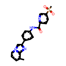 Cc1cccn2cc(-c3ccc(NC(=O)c4ccc(S(C)(=O)=O)cn4)cc3)nc12